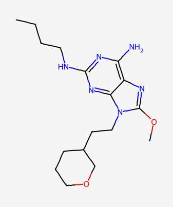 CCCCNc1nc(N)c2nc(OC)n(CCC3CCCOC3)c2n1